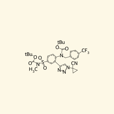 CN(C(=O)OC(C)(C)C)S(=O)(=O)c1ccc(N(Cc2ccc(C(F)(F)F)cc2)C(=O)OC(C)(C)C)c(-c2cn(C3(C#N)CC3)nn2)c1